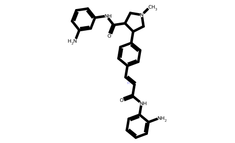 CN1CC(C(=O)Nc2cccc(N)c2)C(c2ccc(/C=C/C(=O)Nc3ccccc3N)cc2)C1